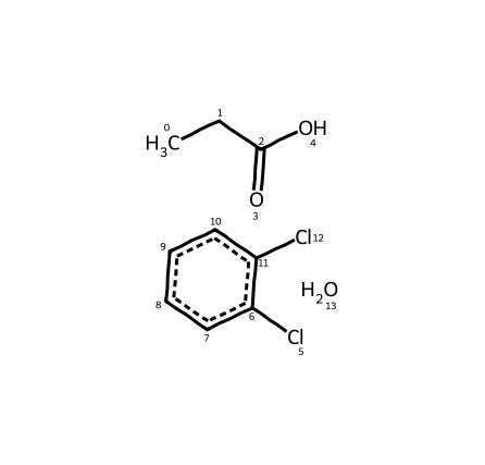 CCC(=O)O.Clc1ccccc1Cl.O